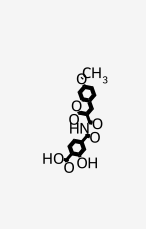 COc1ccc2cc(C(=O)NC(=O)c3ccc(C(=O)O)c(O)c3)c(=O)oc2c1